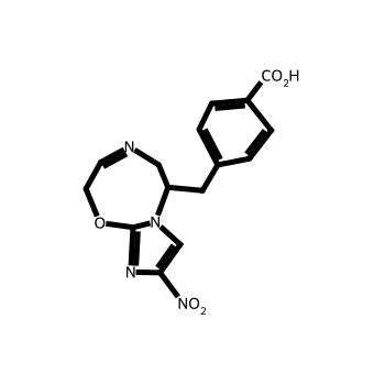 O=C(O)c1ccc(CC2C/N=C\COc3nc([N+](=O)[O-])cn32)cc1